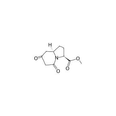 COC(=O)[C@@H]1CC[C@@H]2CC(=O)CC(=O)N21